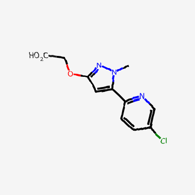 Cn1nc(OCC(=O)O)cc1-c1ccc(Cl)cn1